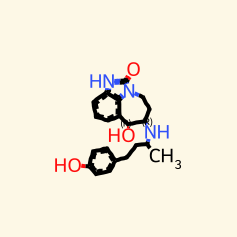 CC(CCc1ccc(O)cc1)N[C@@H]1CCn2c(=O)[nH]c3cccc(c32)[C@H]1O